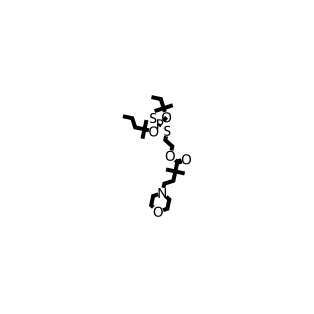 CCCC(C)(C)OP(=S)(OC(C)(C)CC)SCCOC(=O)C(C)(C)CCN1CCOCC1